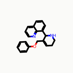 C1=C(COc2ccccc2)C(c2cccc3cccnc23)NCC1